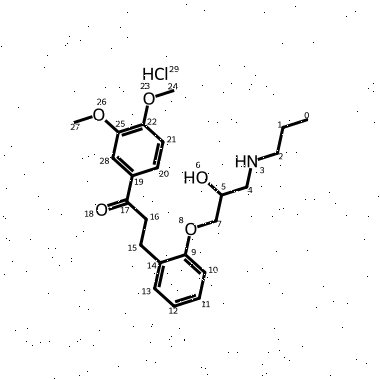 CCCNCC(O)COc1ccccc1CCC(=O)c1ccc(OC)c(OC)c1.Cl